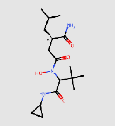 CC(C)C[C@H](CC(=O)N(O)C(C(=O)NC1CC1)C(C)(C)C)C(N)=O